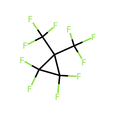 FC(F)(F)C1(C(F)(F)F)C(F)(F)C1(F)F